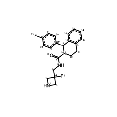 O=C(NCC1(F)CNC1)N1CCc2ccccc2[C@@H]1c1ccc(F)cc1